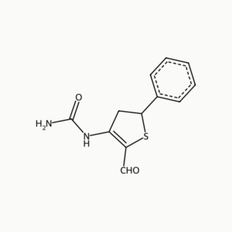 NC(=O)NC1=C(C=O)SC(c2ccccc2)C1